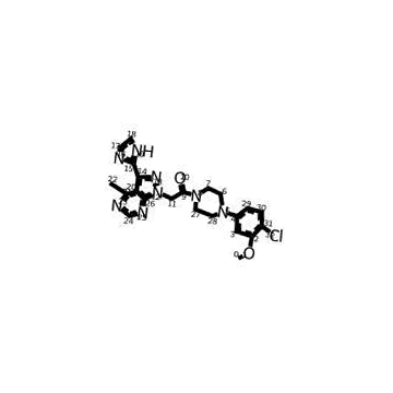 COc1cc(N2CCN(C(=O)Cn3nc(-c4ncc[nH]4)c4c(C)ncnc43)CC2)ccc1Cl